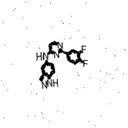 Fc1ccc(-c2nccc(Nc3ccc4[nH]ncc4c3)n2)cc1F